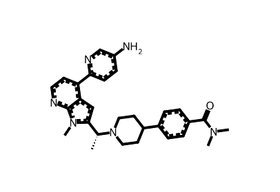 C[C@H](c1cc2c(-c3ccc(N)cn3)ccnc2n1C)N1CCC(c2ccc(C(=O)N(C)C)cc2)CC1